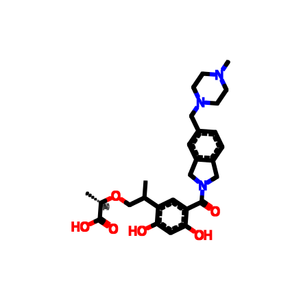 CC(CO[C@@H](C)C(=O)O)c1cc(C(=O)N2Cc3ccc(CN4CCN(C)CC4)cc3C2)c(O)cc1O